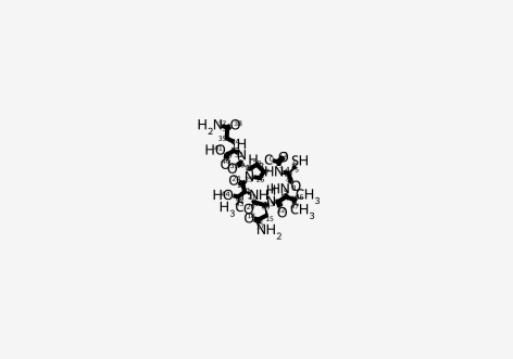 CC(=O)N[C@@H](CS)C(=O)N[C@H](C(=O)N[C@@H](CC(N)=O)C(=O)N[C@H](C(=O)N1CCC[C@H]1C(=O)N[C@@H](CCC(N)=O)C(=O)O)[C@@H](C)O)C(C)C